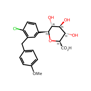 COc1ccc(Cc2cc([C@@H]3O[C@H](C(=O)O)[C@@H](O)[C@H](O)[C@H]3O)ccc2Cl)cc1